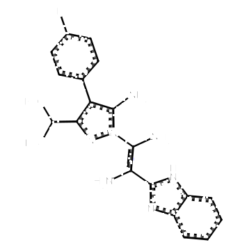 CC(C)c1nn(/C(N)=C(\N)c2nc3ccccc3[nH]2)c(N)c1-c1ccc(F)cc1